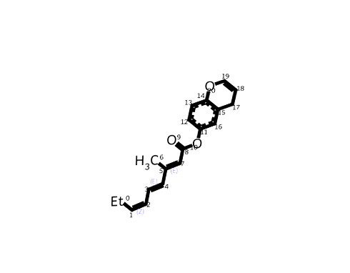 CC\C=C/C=C/C(C)=C/C(=O)Oc1ccc2c(c1)CC=CO2